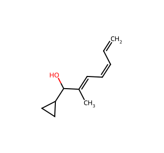 C=C/C=C\C=C(/C)C(O)C1CC1